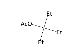 [CH2]C(=O)OC(CC)(CC)CC